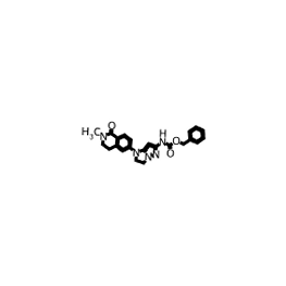 CN1CCc2cc(N3CCn4nc(NC(=O)OCc5ccccc5)cc43)ccc2C1=O